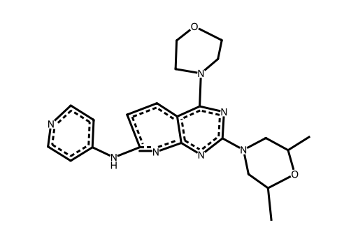 CC1CN(c2nc(N3CCOCC3)c3ccc(Nc4ccncc4)nc3n2)CC(C)O1